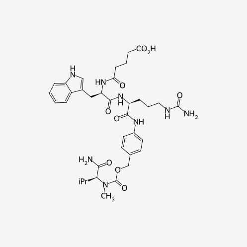 CC(C)[C@@H](C(N)=O)N(C)C(=O)OCc1ccc(NC(=O)[C@H](CCCNC(N)=O)NC(=O)[C@@H](Cc2c[nH]c3ccccc23)NC(=O)CCCC(=O)O)cc1